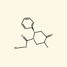 CC1CN(C(=O)OC(C)(C)C)[C@@H](c2ccccc2)CC1=O